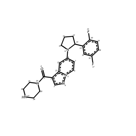 O=C(c1cnn2ccc(N3CCCC3c3cc(F)ccc3F)cc12)N1CCNCC1